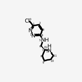 Clc1ccc(NC[C@@H]2CCCCN2)nn1